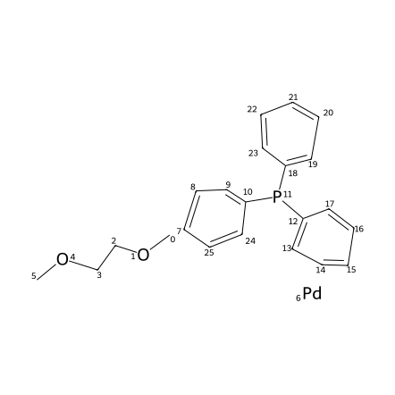 COCCOC.[Pd].c1ccc(P(c2ccccc2)c2ccccc2)cc1